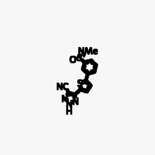 CN[S+]([O-])c1cccc(-c2ccc(-c3n[nH]nc3C#N)s2)c1